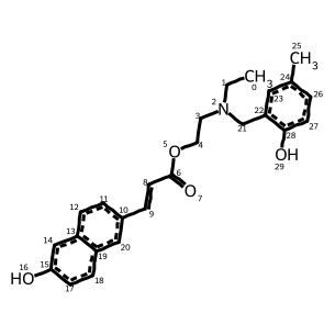 CCN(CCOC(=O)/C=C/c1ccc2cc(O)ccc2c1)Cc1cc(C)ccc1O